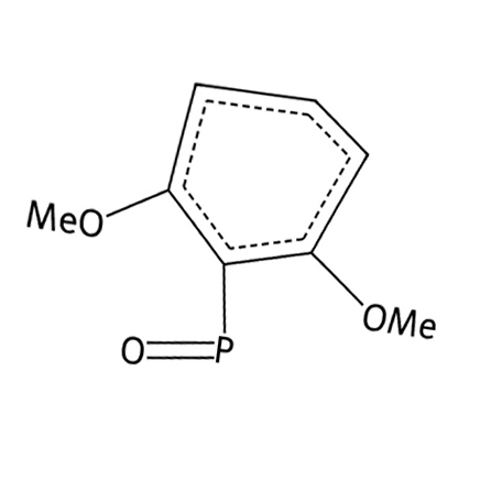 COc1cccc(OC)c1P=O